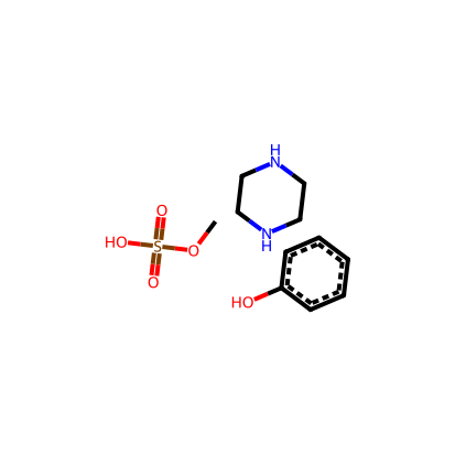 C1CNCCN1.COS(=O)(=O)O.Oc1ccccc1